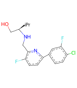 CC(C)[C@H](CO)NCc1nc(-c2ccc(Cl)c(F)c2)ccc1F